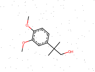 COc1ccc(C(C)(C)CO)cc1OC